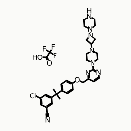 CC(C)(c1ccc(OCc2ccnc(N3CCN(C4CN(N5CCNCC5)C4)CC3)n2)cc1)c1cc(Cl)cc(C#N)c1.O=C(O)C(F)(F)F